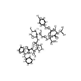 CC[C@H](C)[C@@H]([C@@H](CC(=O)N1CCC[C@H]1[C@H](OC)[C@@H](C)C(=O)N[C@@H](Cc1ccccc1)c1nccs1)OC)N(C)COC[C@@H](NC(=O)[C@H](C(C)C)N(C)C(=O)OCc1ccc(C)cc1)C(C)C